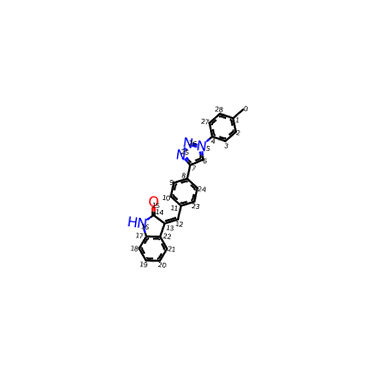 Cc1ccc(-n2cc(-c3ccc(C=C4C(=O)Nc5ccccc54)cc3)nn2)cc1